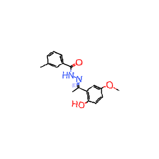 COc1ccc(O)c(/C(C)=N/NC(=O)c2cccc(C)c2)c1